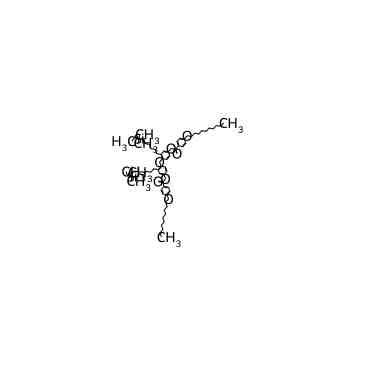 CCCCCCCCCCOc1ccc(C(=O)Oc2ccc(Oc3ccc(OC(=O)c4ccc(OCCCCCCCCCC)cc4)cc3CCCCCC[Si](C)(C)CC)c(CCCCCC[Si](C)(C)CC)c2)cc1